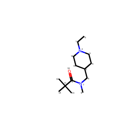 CCN1CCC(CN(C)C(=O)C(C)(C)C)CC1